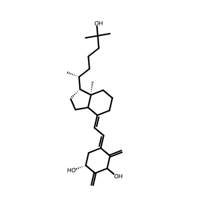 C=C1/C(=C/C=C2CCC[C@@]3(C)C2CC[C@@H]3[C@H](C)CCCC(C)(C)O)C[C@@H](O)C(=C)C1O